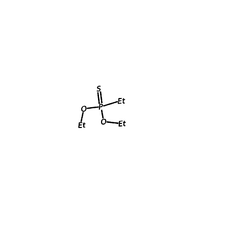 CCOP(=S)(CC)OCC